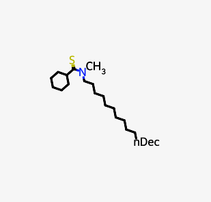 CCCCCCCCCCCCCCCCCCCCN(C)C(=S)C1CCCCC1